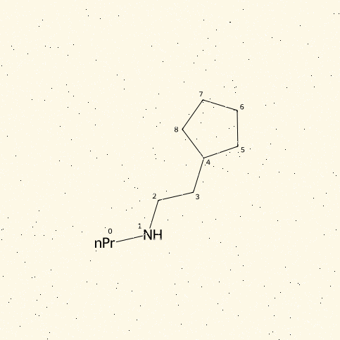 CCCNCCC1CCCC1